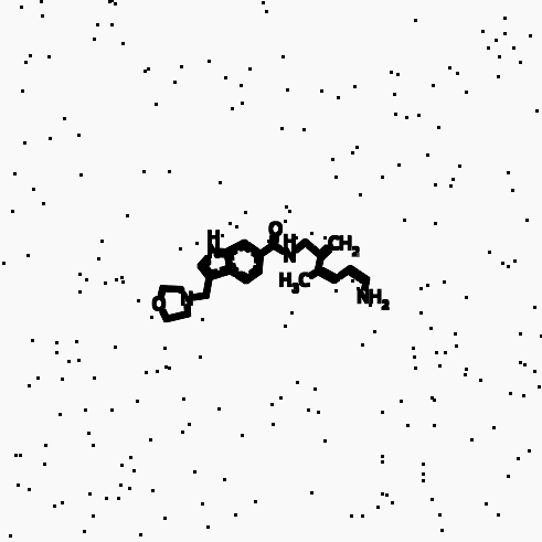 C=C(CNC(=O)c1ccc2c(CN3CCOCC3)c[nH]c2c1)/C(C)=C\C=C/N